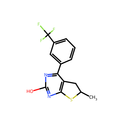 CC1Cc2c(nc(O)nc2-c2cccc(C(F)(F)F)c2)S1